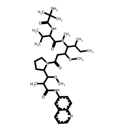 CCC(C)C(C(CC(=O)N1CCCC1C(OC)C(C)C(=O)Nc1ccc2ncccc2c1)OC)N(C)C(=O)C(NC(=O)C(C)(C)N)C(C)C